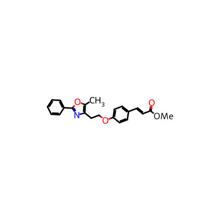 COC(=O)C=Cc1ccc(OCCc2nc(-c3ccccc3)oc2C)cc1